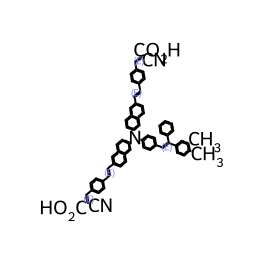 Cc1ccc(/C(=C/c2ccc(N(c3ccc4cc(/C=C/c5ccc(/C=C(\C#N)C(=O)O)cc5)ccc4c3)c3ccc4cc(/C=C/c5ccc(/C=C(\C#N)C(=O)O)cc5)ccc4c3)cc2)c2ccccc2)cc1C